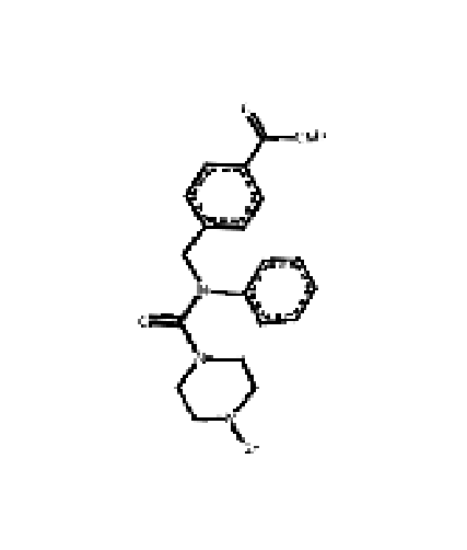 CCN1CCN(C(=O)N(Cc2ccc(C(=O)OC)cc2)c2ccccc2)CC1